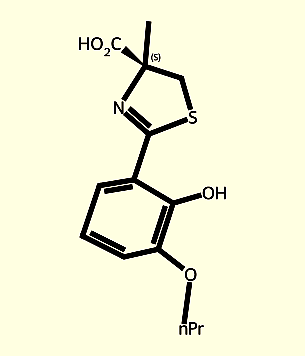 CCCOc1cccc(C2=N[C@@](C)(C(=O)O)CS2)c1O